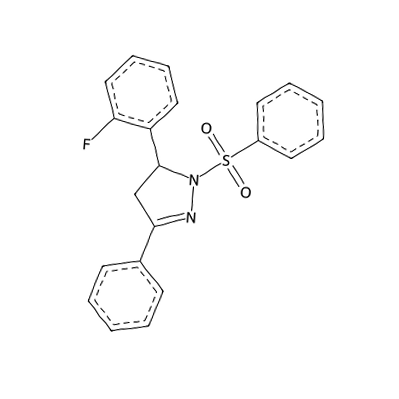 O=S(=O)(c1ccccc1)N1N=C(c2ccccc2)CC1c1ccccc1F